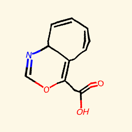 O=C(O)C1=C2C=CC=CC2N=CO1